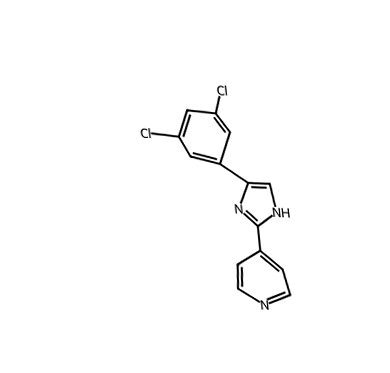 Clc1cc(Cl)cc(-c2c[nH]c(-c3ccncc3)n2)c1